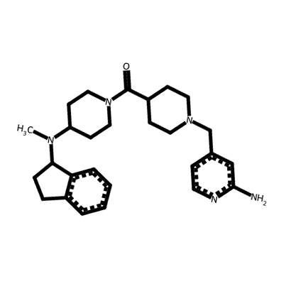 CN(C1CCN(C(=O)C2CCN(Cc3ccnc(N)c3)CC2)CC1)C1CCc2ccccc21